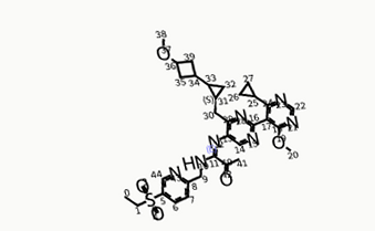 CCS(=O)(=O)c1ccc(CN/C(=N/c2cnc(-c3c(OC)ncnc3C3CC3)nc2C[C@@H]2CC2C2CC(OC)C2)C(C)=O)nc1